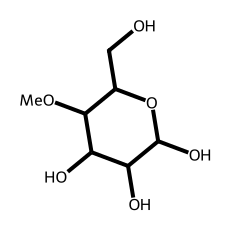 COC1C(CO)OC(O)C(O)C1O